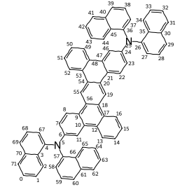 c1ccc2c(N(c3ccc4c(c3)c3ccccc3c3cc5c6ccc(N(c7cccc8ccccc78)c7cccc8ccccc78)cc6c6ccccc6c5cc43)c3cccc4ccccc34)cccc2c1